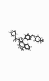 O=C(c1nn(-c2ccc(CN3CCC(F)(F)CC3)cc2)c2c1CS(=O)(=O)c1ccccc1-2)N1CCOCC1